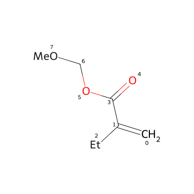 C=C(CC)C(=O)OCOC